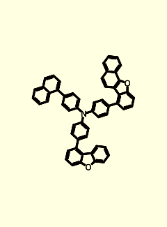 c1ccc2c(-c3ccc(N(c4ccc(-c5cccc6oc7ccccc7c56)cc4)c4ccc(-c5cccc6oc7c8ccccc8ccc7c56)cc4)cc3)cccc2c1